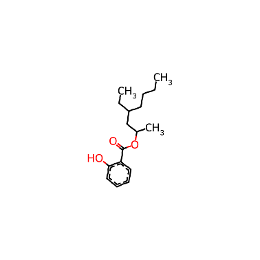 CCCCC(CC)CC(C)OC(=O)c1ccccc1O